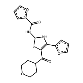 O=C(NC1NC(c2ccco2)=C(C(=O)C2CCOCC2)S1)c1ccco1